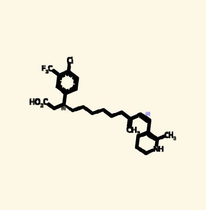 C=C(/C=C\C1=C(C)NCCC1)CCCCCC[C@@H](CC(=O)O)c1ccc(Cl)c(C(F)(F)F)c1